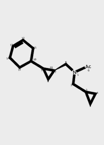 CC(=O)N(CC1CC1)C[C@H]1CC1C1CC=CCC1